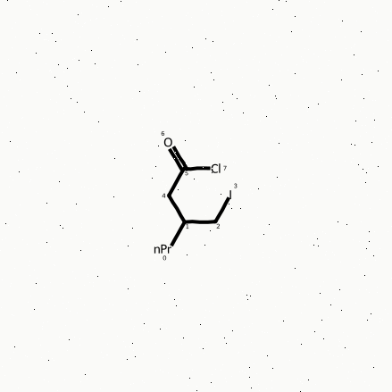 CCCC(CI)CC(=O)Cl